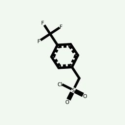 O=S(=O)(Cl)Cc1ccc(C(F)(F)F)cc1